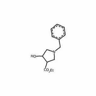 CCOC(=O)C1CN(Cc2ccccc2)CC1O